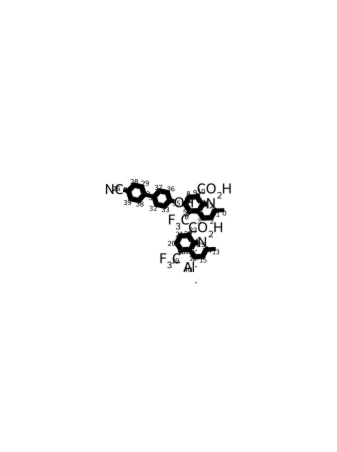 Cc1ccc2c(C(F)(F)F)ccc(C(=O)O)c2n1.Cc1ccc2c(C(F)(F)F)ccc(C(=O)O)c2n1.N#Cc1ccc(-c2ccc(O)cc2)cc1.[Al]